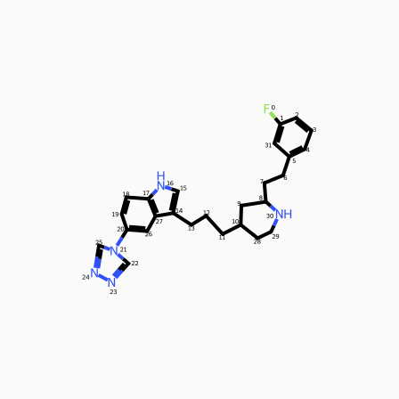 Fc1cccc(CCC2CC(CCCc3c[nH]c4ccc(-n5cnnc5)cc34)CCN2)c1